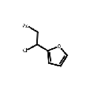 CC(=O)CC(Cl)c1ccco1